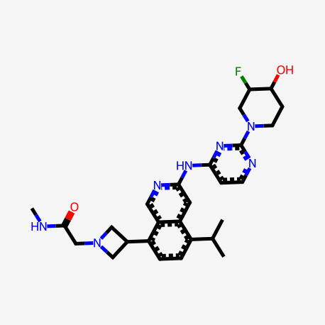 CNC(=O)CN1CC(c2ccc(C(C)C)c3cc(Nc4ccnc(N5CCC(O)C(F)C5)n4)ncc23)C1